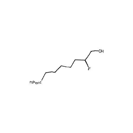 CCCCCCCCCCC(F)CO